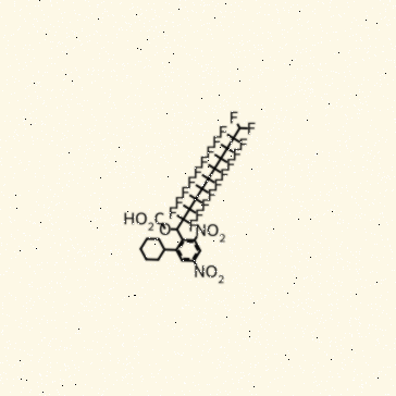 O=C(O)OC(c1c(C2CCCCC2)cc([N+](=O)[O-])cc1[N+](=O)[O-])C(F)(F)C(F)(F)C(F)(F)C(F)(F)C(F)(F)C(F)(F)C(F)(F)C(F)(F)C(F)(F)C(F)F